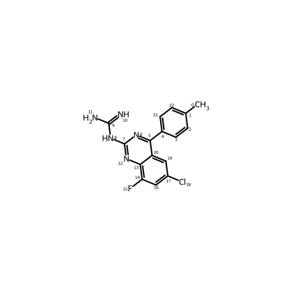 Cc1ccc(-c2nc(NC(=N)N)nc3c(F)cc(Cl)cc23)cc1